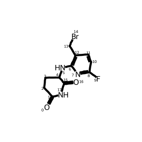 O=C1CCC(Nc2nc(F)ccc2CBr)C(=O)N1